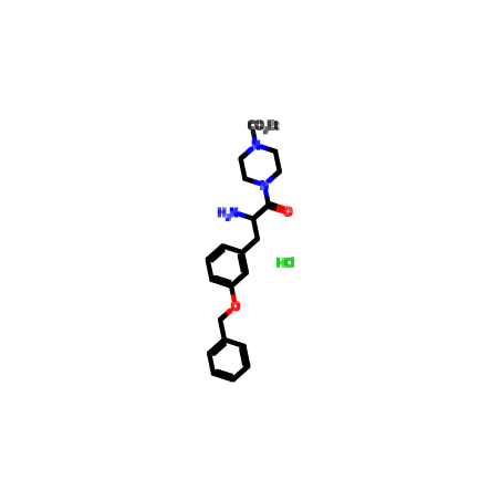 CCOC(=O)N1CCN(C(=O)C(N)Cc2cccc(OCc3ccccc3)c2)CC1.Cl